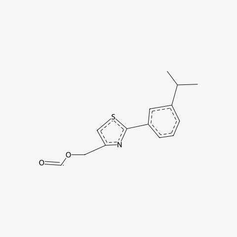 CC(C)c1cccc(-c2nc(CO[C]=O)cs2)c1